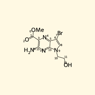 COC(=O)c1nc2c(Br)cn(CCO)c2nc1N